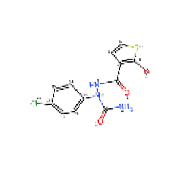 NC(=O)N(NC(=O)c1ccsc1Br)c1ccc(Cl)cc1